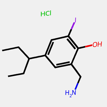 CCC(CC)c1cc(I)c(O)c(CN)c1.Cl